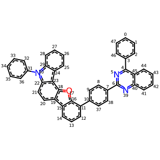 c1ccc(-c2nc(-c3ccc(-c4cccc5c4oc4c5ccc5c4c4ccccc4n5-c4ccccc4)cc3)nc3ccccc23)cc1